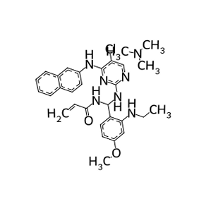 C=CC(=O)NC(Nc1ncc(Cl)c(Nc2ccc3ccccc3c2)n1)c1ccc(OC)cc1NCC.CN(C)C